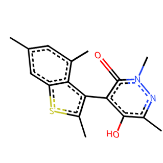 Cc1cc(C)c2c(-c3c(O)c(C)nn(C)c3=O)c(C)sc2c1